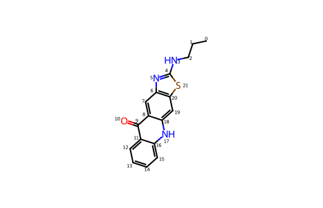 CCCNc1nc2cc3c(=O)c4ccccc4[nH]c3cc2s1